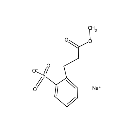 COC(=O)CCc1ccccc1S(=O)(=O)[O-].[Na+]